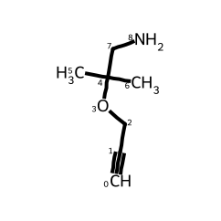 C#CCOC(C)(C)CN